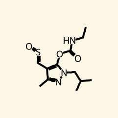 CCNC(=O)Oc1c(C=S=O)c(C)nn1CC(C)C